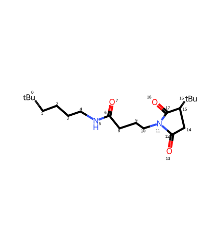 CC(C)(C)CCCCNC(=O)CCCN1C(=O)CC(C(C)(C)C)C1=O